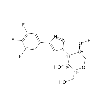 CCO[C@H]1CO[C@H](CO)[C@H](O)[C@@H]1n1cc(-c2cc(F)c(F)c(F)c2)nn1